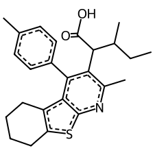 CCC(C)C(C(=O)O)c1c(C)nc2sc3c(c2c1-c1ccc(C)cc1)CCCC3